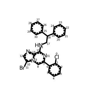 Clc1ccccc1-c1cn2c(Br)cnc2c(NCC(c2ccccc2)c2ccccc2)n1